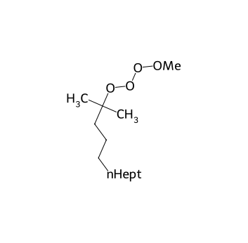 CCCCCCCCCCC(C)(C)OOOOC